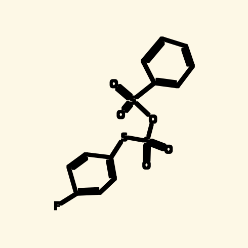 O=S(=O)(OS(=O)(=O)c1ccccc1)Sc1ccc(F)cc1